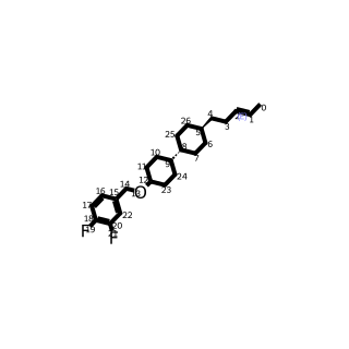 C/C=C/CC[C@H]1CC[C@H](C2CCC(OCc3ccc(F)c(F)c3)CC2)CC1